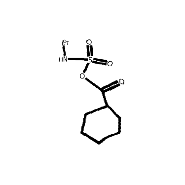 CC(C)NS(=O)(=O)OC(=O)C1CCCCC1